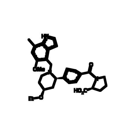 CCO[C@H]1CCN(Cc2c(OC)cc(C)c3[nH]ccc23)[C@H](c2ccc(C(=O)N3CCC[C@H]3C(=O)O)cc2)C1